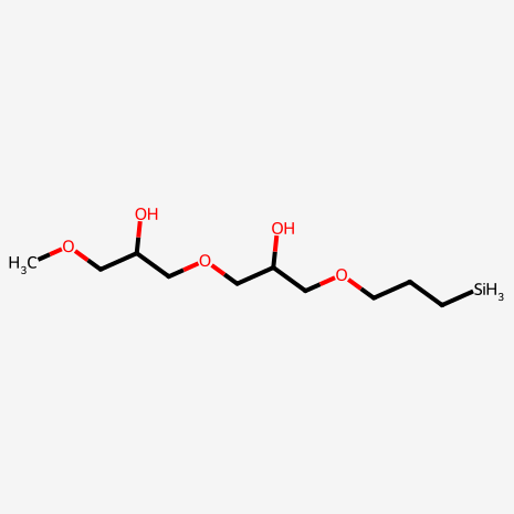 COCC(O)COCC(O)COCCC[SiH3]